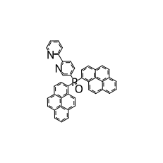 O=P(c1ccc(-c2ccccn2)nc1)(c1ccc2ccc3cccc4ccc1c2c34)c1ccc2ccc3cccc4ccc1c2c34